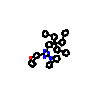 c1ccc(-c2cccc([Si](c3cccc(-c4ccccc4)c3)(c3cccc(-c4ccccc4)c3)c3cccc(-c4nc(-c5ccc6oc7ccccc7c6c5)nc(-n5c6ccccc6c6ccccc65)n4)c3)c2)cc1